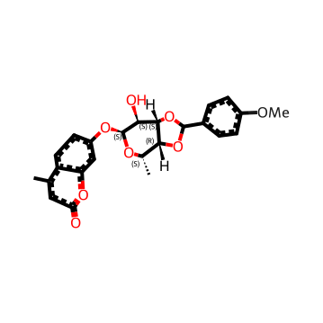 COc1ccc(C2O[C@H]3[C@H](O)[C@H](Oc4ccc5c(C)cc(=O)oc5c4)O[C@@H](C)[C@H]3O2)cc1